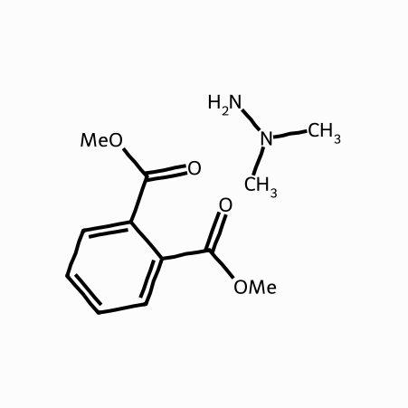 CN(C)N.COC(=O)c1ccccc1C(=O)OC